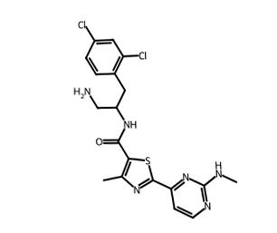 CNc1nccc(-c2nc(C)c(C(=O)NC(CN)Cc3ccc(Cl)cc3Cl)s2)n1